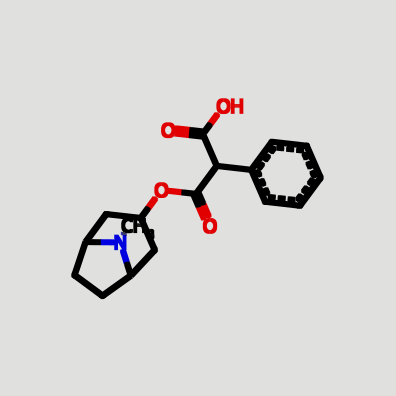 CN1C2CCC1CC(OC(=O)C(C(=O)O)c1ccccc1)C2